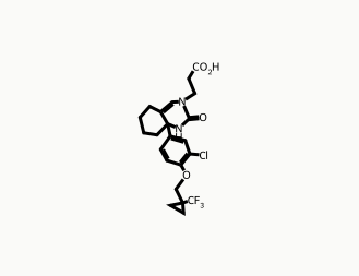 O=C(O)CCN1C=C2CCCCC2(c2ccc(OCC3(C(F)(F)F)CC3)c(Cl)c2)NC1=O